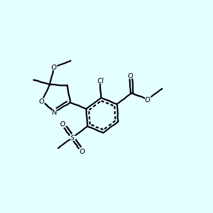 COC(=O)c1ccc(S(C)(=O)=O)c(C2=NOC(C)(OC)C2)c1Cl